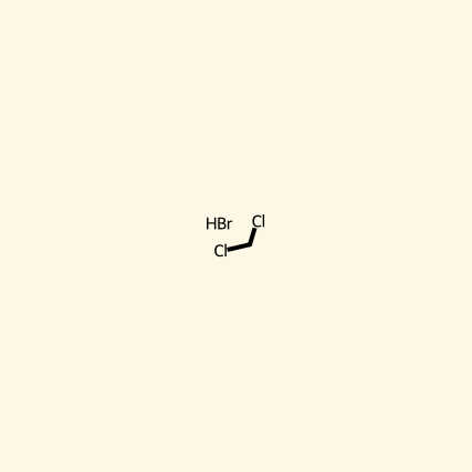 Br.ClCCl